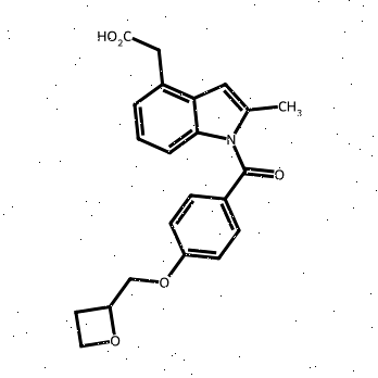 Cc1cc2c(CC(=O)O)cccc2n1C(=O)c1ccc(OCC2CCO2)cc1